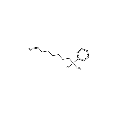 C=CCCCCCC[Si](C)(Cl)c1ccccc1